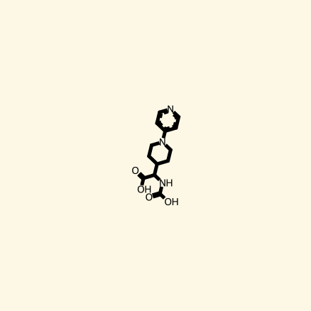 O=C(O)NC(C(=O)O)C1CCN(c2ccncc2)CC1